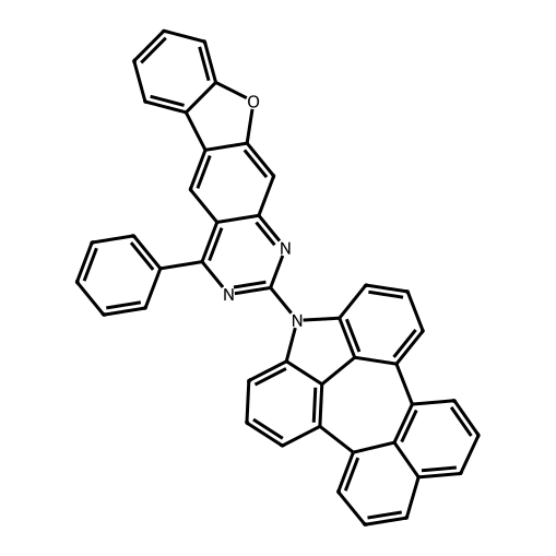 c1ccc(-c2nc(-n3c4cccc5c4c4c(cccc43)-c3cccc4cccc-5c34)nc3cc4oc5ccccc5c4cc23)cc1